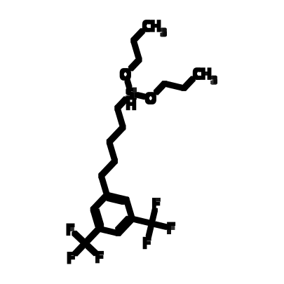 CCCO[SiH](CCCCCc1cc(C(F)(F)F)cc(C(F)(F)F)c1)OCCC